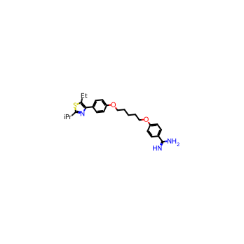 CCc1sc(C(C)C)nc1-c1ccc(OCCCCCOc2ccc(C(=N)N)cc2)cc1